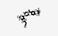 CC(c1ccc2c(c1)OC(F)(F)C(F)(F)O2)N1C[C@H](C)N(c2nc(=O)n(C)c3c2nc(CC#N)n3C)C[C@H]1C